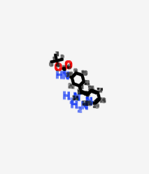 CC(C)(C)OC(=O)NC1CCCC(/C(N)=C2\C=CC=CN2N)C1